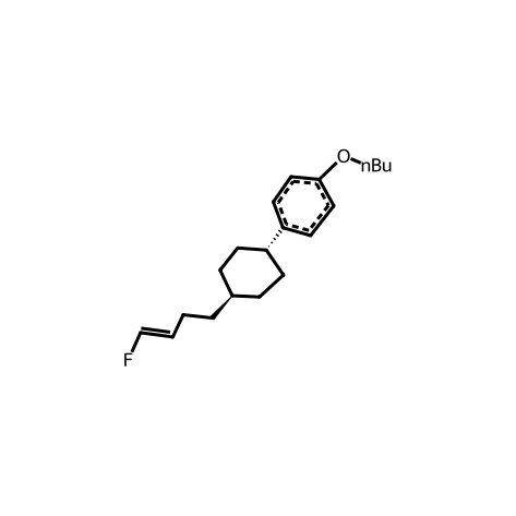 CCCCOc1ccc([C@H]2CC[C@H](CCC=CF)CC2)cc1